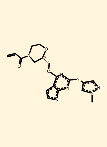 C=CC(=O)N1CCO[C@H](COc2nc(Nc3cnn(C)c3)nc3[nH]ccc23)C1